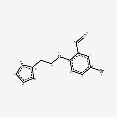 O=Cc1cc(Br)ccc1OCCc1cccs1